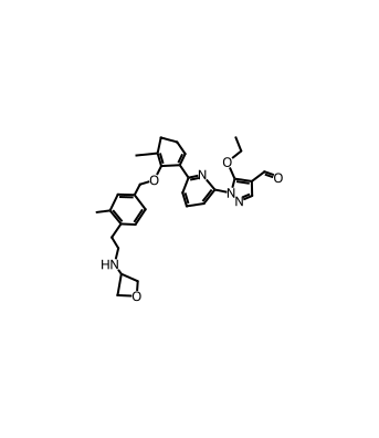 CCOc1c(C=O)cnn1-c1cccc(C2=CCCC(C)=C2OCc2ccc(CCNC3COC3)c(C)c2)n1